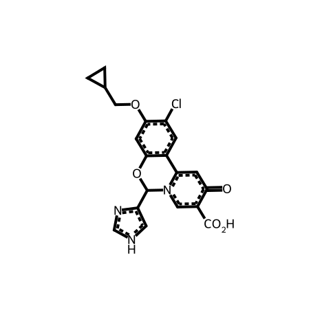 O=C(O)c1cn2c(cc1=O)-c1cc(Cl)c(OCC3CC3)cc1OC2c1c[nH]cn1